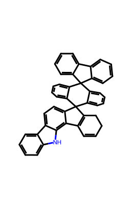 C1=CC2=C(CC1)C1(c3ccccc3C3(c4ccccc4-c4ccccc43)c3ccccc31)c1ccc3c([nH]c4ccccc43)c12